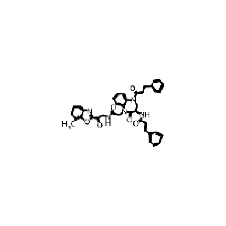 Cc1cccc2nc(C(=O)CNC(=O)CN3C(=O)C(NC(=O)CCc4ccccc4)CN(C(=O)CCc4ccccc4)c4ccccc43)oc12